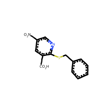 O=C(O)c1cc([N+](=O)[O-])cnc1SCc1ccccc1